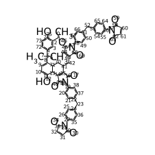 CCc1cc(C(C)(C)C2=CC=C(O)C3C4=C(C(=O)N(c5ccc(Cc6ccc(N7C(=O)C=CC7=O)cc6)cc5)C4=O)C(CC4=CC(=O)N(c5ccc(Cc6ccc(N7C(=O)C=CC7=O)cc6)cc5)C4=O)CC23)ccc1O